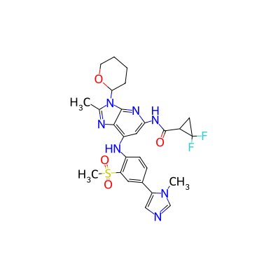 Cc1nc2c(Nc3ccc(-c4cncn4C)cc3S(C)(=O)=O)cc(NC(=O)C3CC3(F)F)nc2n1C1CCCCO1